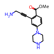 COC(=O)c1ccc(N2CCNCC2)cc1C#CCN